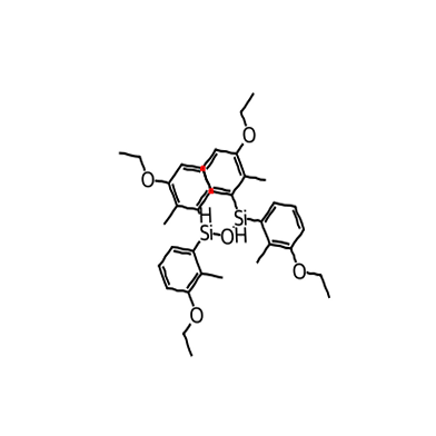 CCOc1cccc([SiH](O[SiH](c2cccc(OCC)c2C)c2cccc(OCC)c2C)c2cccc(OCC)c2C)c1C